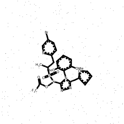 COc1cccc(OC)c1-n1c(-c2ccco2)nnc1N(OC(=O)C(F)(F)F)S(=O)(=O)C(C)Cc1ccc(Br)cn1